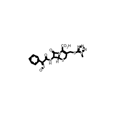 Cn1nnnc1SCC1=C(C(=O)O)N2C(=O)C(NC(=O)C(=S=O)c3ccccc3)[C@H]2SC1